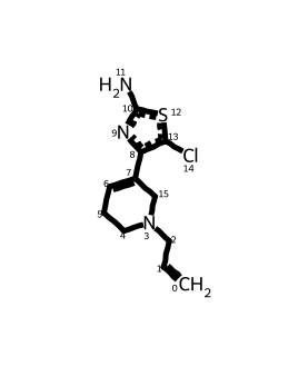 C=CCN1CCC=C(c2nc(N)sc2Cl)C1